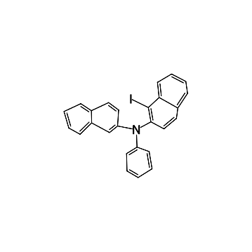 Ic1c(N(c2ccccc2)c2ccc3ccccc3c2)ccc2ccccc12